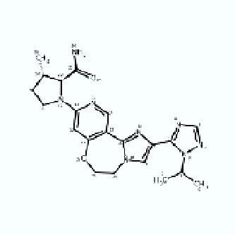 CC(C)n1ncnc1-c1cn2c(n1)-c1cnc(N3CC[C@H](C)[C@H]3C(N)=O)cc1OCC2